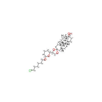 C[C@]12CCC3(C[C@@H]1CC[C@@H]1[C@@H]2CC[C@]2(C)[C@@H](O)CC[C@@H]12)OCC(C1CCCC(OCCCCCCCl)O1)O3